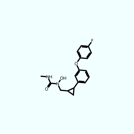 CNC(=O)N(O)CC1CC1c1cccc(Oc2ccc(F)cc2)c1